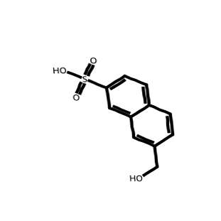 O=S(=O)(O)c1ccc2ccc(CO)cc2c1